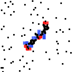 CC(NC(=O)C1C[C@H](c2cccc(CO)c2)CN1)C(=O)NCc1ccc(C(=N)NC(=O)O)cc1